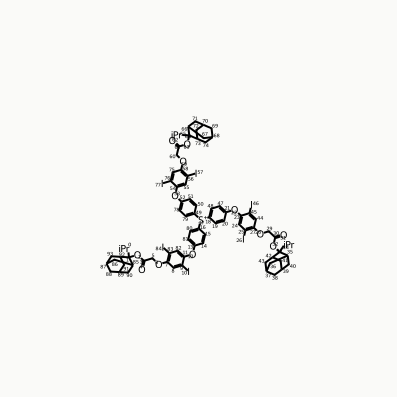 CC(C)C1(OC(=O)COc2cc(I)c(Oc3ccc([S+](c4ccc(Oc5cc(I)c(OCC(=O)OC6(C(C)C)C7CC8CC(C7)CC6C8)cc5I)cc4)c4ccc(Oc5cc(I)c(OCC(=O)OC6(C(C)C)C7CC8CC(C7)CC6C8)cc5I)cc4)cc3)cc2I)C2CC3CC(C2)CC1C3